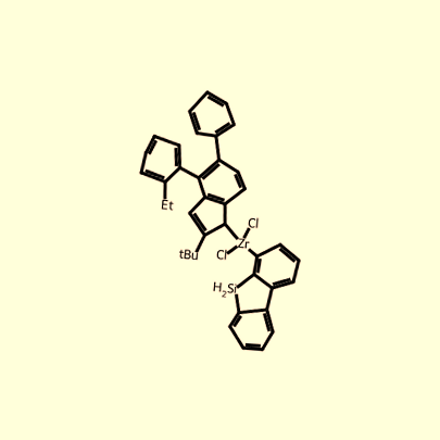 CCc1ccccc1-c1c(-c2ccccc2)ccc2c1C=C(C(C)(C)C)[CH]2[Zr]([Cl])([Cl])[c]1cccc2c1[SiH2]c1ccccc1-2